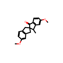 COc1ccc2c(c1)CC1(C2)C(=O)c2ccc(OC)cc2C1C